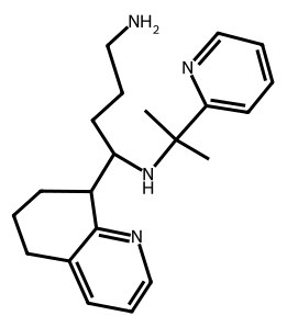 CC(C)(NC(CCCN)C1CCCc2cccnc21)c1ccccn1